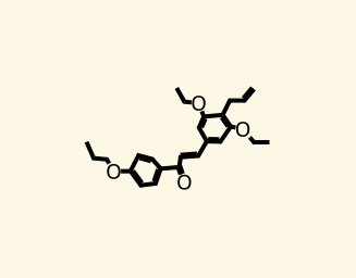 C=CCc1c(OCC)cc(/C=C/C(=O)c2ccc(OCCC)cc2)cc1OCC